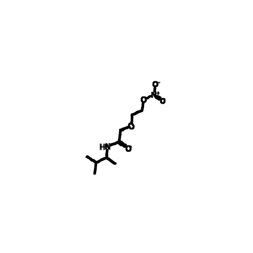 CC(C)C(C)NC(=O)COCCO[N+](=O)[O-]